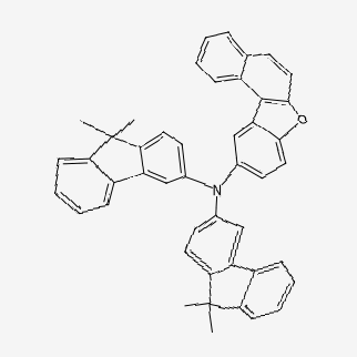 CC1(C)c2ccccc2-c2cc(N(c3ccc4c(c3)-c3ccccc3C4(C)C)c3ccc4oc5ccc6ccccc6c5c4c3)ccc21